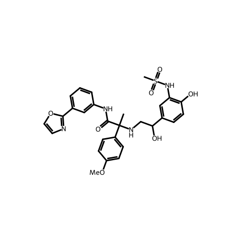 COc1ccc(C(C)(NCC(O)c2ccc(O)c(NS(C)(=O)=O)c2)C(=O)Nc2cccc(-c3ncco3)c2)cc1